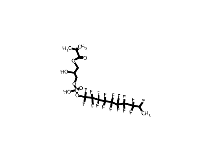 C=C(C)C(=O)OCC(O)COP(=O)(O)OC(F)(F)C(F)(F)C(F)(F)C(F)(F)C(F)(F)C(F)(F)C(F)(F)C(F)(F)C(C)F